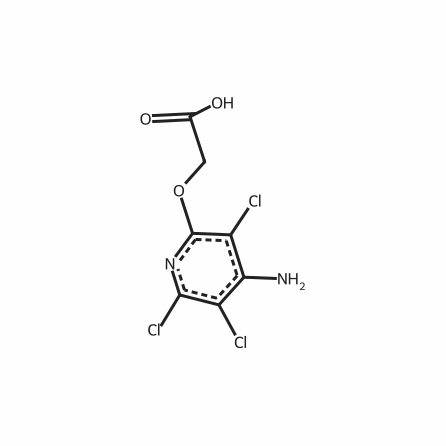 Nc1c(Cl)c(Cl)nc(OCC(=O)O)c1Cl